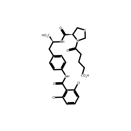 O=C(O)CCCC(=O)N1CSC[C@@H]1C(=O)N[C@@H](Cc1ccc(NC(=O)c2c(Cl)cccc2Cl)cc1)C(=O)O